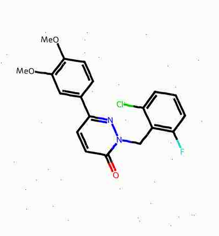 COc1ccc(-c2ccc(=O)n(Cc3c(F)cccc3Cl)n2)cc1OC